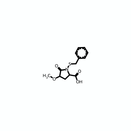 COC1CC(C(=O)O)N(SCc2ccccc2)C1=O